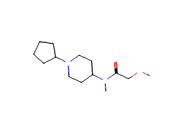 COCC(=O)N(C)C1CCN(C2CCCC2)CC1